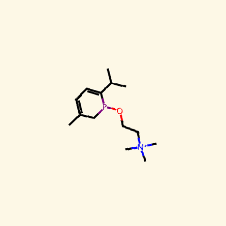 CC1=CC=C(C(C)C)P(OCC[N+](C)(C)C)C1